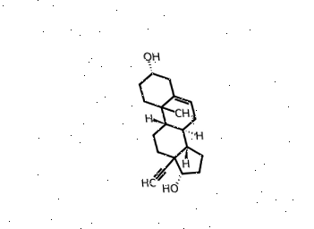 C#CC12CC[C@H]3[C@@H](CC=C4C[C@@H](O)CCC43C)[C@@H]1CC[C@@H]2O